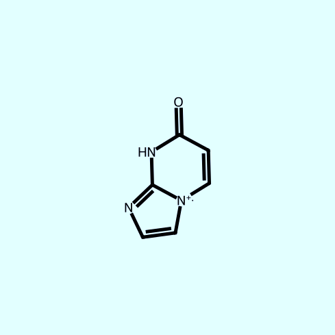 O=C1C=C[N+]2C=CN=C2N1